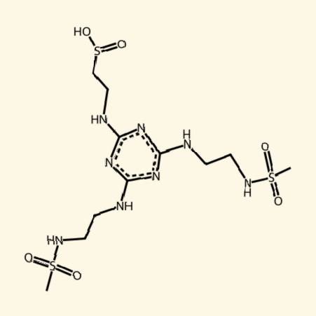 CS(=O)(=O)NCCNc1nc(NCCNS(C)(=O)=O)nc(NCCS(=O)O)n1